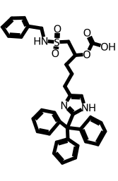 O=C(O)OC(CCCc1c[nH]c(C(c2ccccc2)(c2ccccc2)c2ccccc2)n1)CS(=O)(=O)NCc1ccccc1